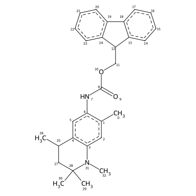 Cc1cc2c(cc1NC(=O)OCC1c3ccccc3-c3ccccc31)C(C)CC(C)(C)N2C